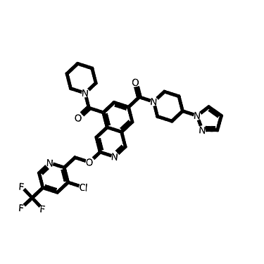 O=C(c1cc(C(=O)N2CCCCC2)c2cc(OCc3ncc(C(F)(F)F)cc3Cl)ncc2c1)N1CCC(n2cccn2)CC1